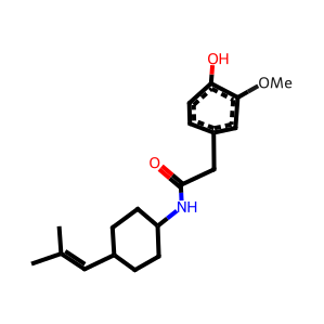 COc1cc(CC(=O)NC2CCC(C=C(C)C)CC2)ccc1O